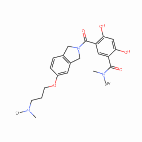 CCCN(C)C(=O)c1cc(C(=O)N2Cc3ccc(OCCCN(C)CC)cc3C2)c(O)cc1O